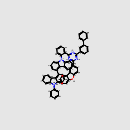 c1ccc(-c2cccc(-c3nc(-c4ccc5oc6ccccc6c5c4)nc(-c4ccccc4-n4c5ccccc5c5c(-c6cccc7c6c6ccccc6n7-c6ccccc6)cccc54)n3)c2)cc1